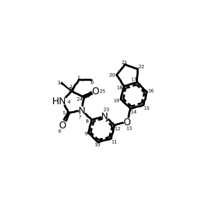 CC[C@@]1(C)NC(=O)N(c2cccc(Oc3ccc4c(c3)CCC4)n2)C1=O